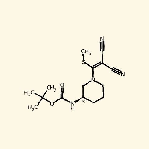 CSC(=C(C#N)C#N)N1CCC[C@@H](NC(=O)OC(C)(C)C)C1